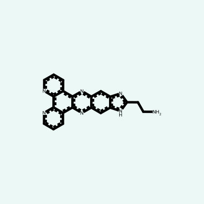 NCCc1nc2cc3nc4c5cccnc5c5ncccc5c4nc3cc2[nH]1